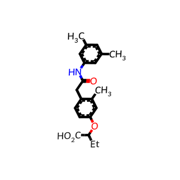 CCC(Oc1ccc(CC(=O)Nc2cc(C)cc(C)c2)c(C)c1)C(=O)O